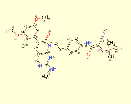 CNc1ncc2cc(-c3cc(OC)cc(OC)c3Cl)c(=O)n(CCc3ccc(NC(=O)/C(C#N)=C/C(C)(C)C)cc3)c2n1